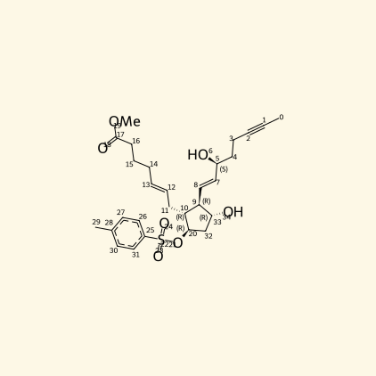 CC#CCC[C@H](O)C=C[C@@H]1[C@@H](CC=CCCCC(=O)OC)[C@H](OS(=O)(=O)c2ccc(C)cc2)C[C@H]1O